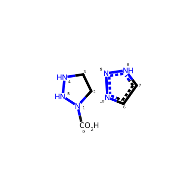 O=C(O)N1CCNN1.c1c[nH]nn1